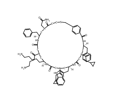 NCCCCC[C@H]1CN(C(=O)CCCN)CC(=O)N[C@@H](Cc2ccccc2)CN(CC(N)=O)C(=O)CCSCc2ccc(cc2)C(=O)N[C@@H](Cc2ccccc2)CN(C(=O)CC2CC2)CC(=O)N[C@@H](Cc2c[nH]c3ccccc23)CN(C(=O)CC2CC2)CC(=O)N1